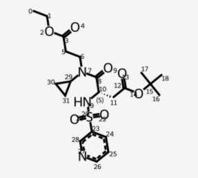 CCOC(=O)CCN(C(=O)[C@H](CC(=O)OC(C)(C)C)NS(=O)(=O)c1cccnc1)C1CC1